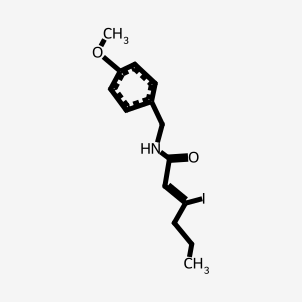 CCC/C(I)=C/C(=O)NCc1ccc(OC)cc1